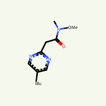 CON(C)C(=O)Cc1ncc(C(C)(C)C)cn1